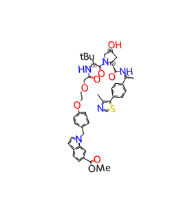 COC(=O)c1ccc2ccn(Cc3ccc(OCCOCC(=O)N[C@H](C(=O)N4C[C@H](O)C[C@H]4C(=O)N[C@@H](C)c4ccc(-c5scnc5C)cc4)C(C)(C)C)cc3)c2c1